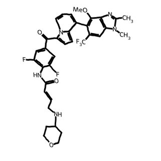 COc1c(-c2cccn3c(C(=O)c4cc(F)c(NC(=O)/C=C/CNC5CCOCC5)c(F)c4)ccc23)c(C(F)(F)F)cc2c1nc(C)n2C